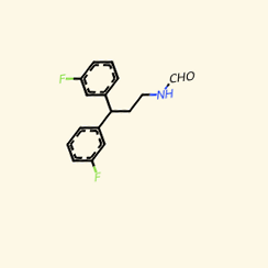 O=CNCCC(c1cccc(F)c1)c1cccc(F)c1